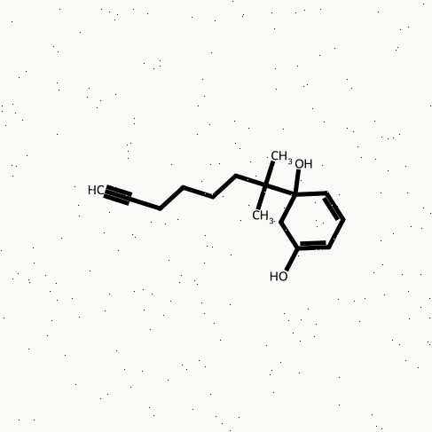 C#CCCCCC(C)(C)C1(O)C=CC=C(O)C1